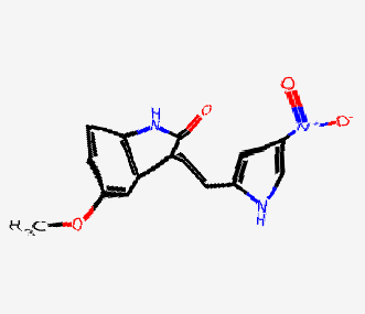 COc1ccc2c(c1)C(=Cc1cc([N+](=O)[O-])c[nH]1)C(=O)N2